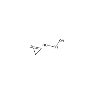 OBO.[CH]1=[Zr][CH2]1